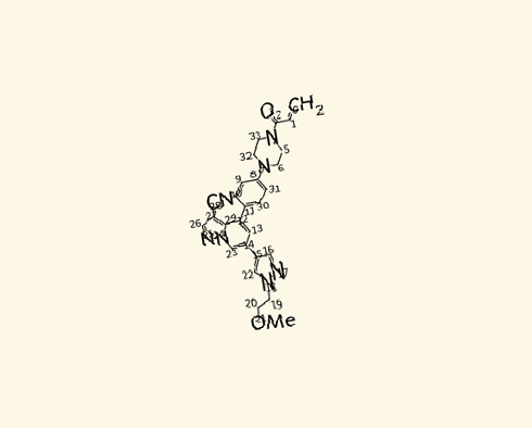 C=CC(=O)N1CCN(c2ccc(-c3cc(-c4cnn(CCOC)c4)cn4ncc(C#N)c34)cc2)CC1